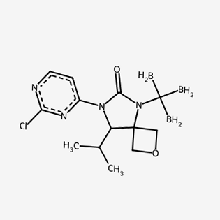 BC(B)(B)N1C(=O)N(c2ccnc(Cl)n2)C(C(C)C)C12COC2